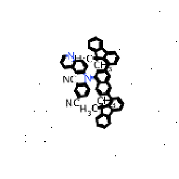 CC1(C)c2ccccc2-c2cccc(-c3ccc4c(N(c5ccc6ncccc6c5)c5ccc(C#N)cc5C#N)cc(-c5cccc6c5C(C)(C)c5ccccc5-6)cc4c3)c21